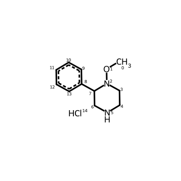 CON1CCNCC1c1ccccc1.Cl